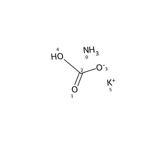 N.O=C([O-])O.[K+]